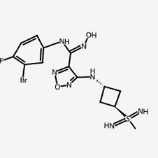 CS(=N)(=N)[C@H]1C[C@H](Nc2nonc2/C(=N/O)Nc2ccc(F)c(Br)c2)C1